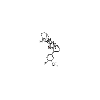 Cc1noc(N2CC3CC[C@@H](C2)[C@@H]3Nc2nc3c(-c4ccc(F)c(C(F)(F)F)c4)cccn3n2)n1